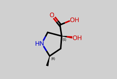 C[C@@H]1C[C@@](O)(C(=O)O)CN1